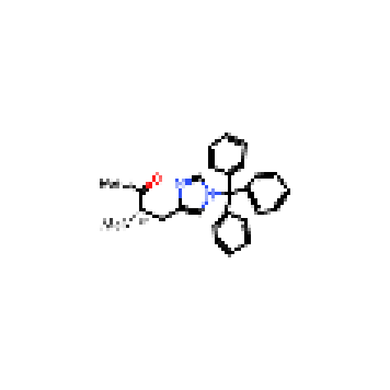 CN[C@@H](Cc1cn(C(c2ccccc2)(c2ccccc2)c2ccccc2)cn1)C(=O)OC